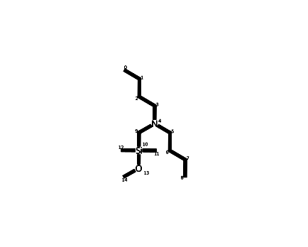 CCCCN(CCCC)C[Si](C)(C)OC